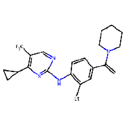 C=C(c1ccc(Nc2ncc(C(F)(F)F)c(C3CC3)n2)c(CC)c1)N1CCCCC1